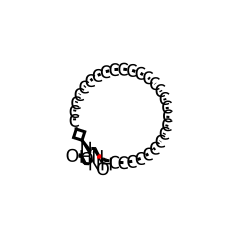 O=C1CCCCCCCCCCCCCCCCCCCCCCCCCCCC2CC(N3CCNCC3=O)(C2)C(=O)N1